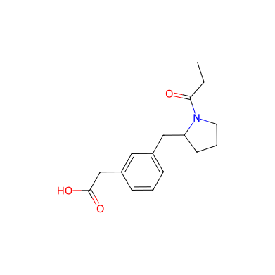 CCC(=O)N1CCCC1Cc1cccc(CC(=O)O)c1